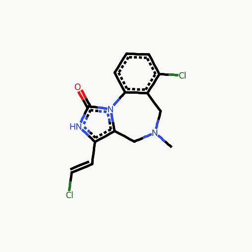 CN1Cc2c(Cl)cccc2-n2c(c(C=CCl)[nH]c2=O)C1